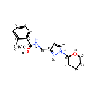 COc1ccccc1C(=O)NCc1ccn(C2CCCCO2)n1